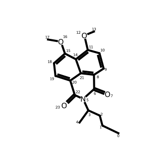 CCCC(C)N1C(=O)c2ccc(OC)c3c(OC)ccc(c23)C1=O